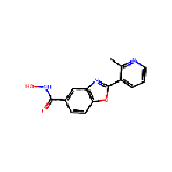 Cc1ncccc1-c1nc2cc(C(=O)NO)ccc2o1